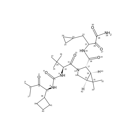 CC(C)C(=O)[C@@H](NC(=O)N[C@H](C(=O)N1C[C@H]2[C@@H]([C@H]1C(=O)NC(CC1CC1)C(=O)C(N)=O)C2(C)C)C(C)(C)C)C1CCC1